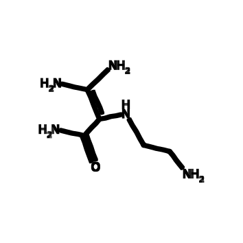 NCCNC(C(N)=O)=C(N)N